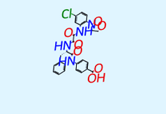 O=C(Nc1cc(Cl)ccc1N1CCOO1)C(=O)N[C@@H](Cc1ccccc1)C(=O)Nc1ccc(C(=O)O)cc1